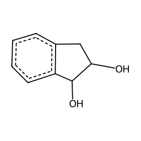 OC1Cc2ccccc2C1O